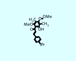 COCOc1c(C)c(O)c(C(=O)/C=C/c2ccc(C(C)C)cc2)c(OC)c1C